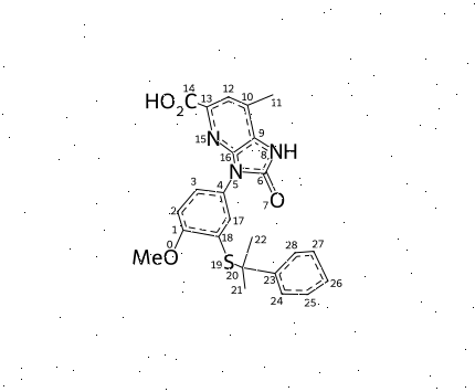 COc1ccc(-n2c(=O)[nH]c3c(C)cc(C(=O)O)nc32)cc1SC(C)(C)c1ccccc1